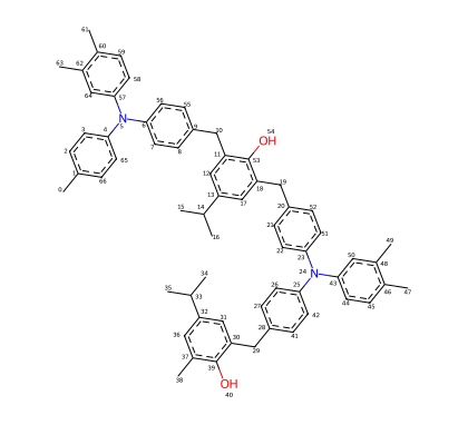 Cc1ccc(N(c2ccc(Cc3cc(C(C)C)cc(Cc4ccc(N(c5ccc(Cc6cc(C(C)C)cc(C)c6O)cc5)c5ccc(C)c(C)c5)cc4)c3O)cc2)c2ccc(C)c(C)c2)cc1